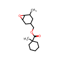 CC1CC(COC(=O)C2(C)CCCCC2)CC2OC12